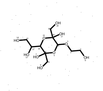 OCCOC1OC(O)(CO)C(C(O)CO)OC1(O)CO